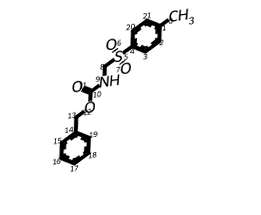 Cc1ccc(S(=O)(=O)CNC(=O)OCc2ccccc2)cc1